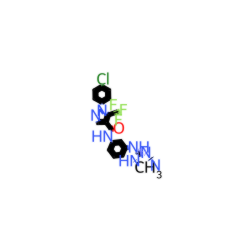 CN/C(=N\C#N)Nc1cccc(NC(=O)c2cnn(-c3ccc(Cl)cc3)c2C(F)(F)F)c1